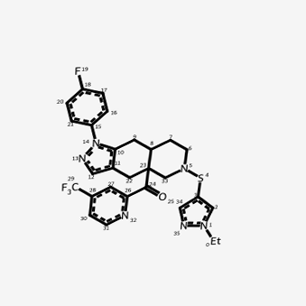 CCn1cc(SN2CCC3Cc4c(cnn4-c4ccc(F)cc4)CC3(C(=O)c3cc(C(F)(F)F)ccn3)C2)cn1